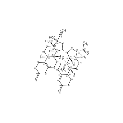 C#C[C@]1(O)CC[C@H]2[C@@H]3CCC4=C(CCC(=O)C4)[C@H]3CC[C@@]21C.CC(=O)[C@H]1CC[C@H]2[C@@H]3CCC4=CC(=O)CC[C@]4(C)[C@H]3CC[C@]12C